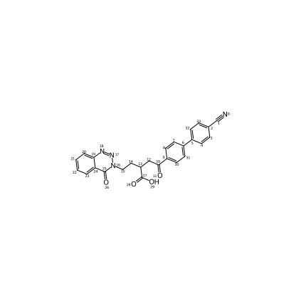 N#Cc1ccc(-c2ccc(C(=O)CC(CCn3nnc4ccccc4c3=O)C(=O)O)cc2)cc1